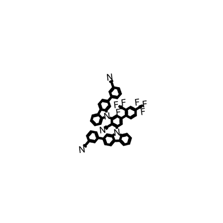 N#Cc1cccc(-c2ccc3c4ccccc4n(-c4cc(-c5ccc(C(F)(F)F)cc5C(F)(F)F)cc(-n5c6ccccc6c6ccc(-c7cccc(C#N)c7)cc65)c4C#N)c3c2)c1